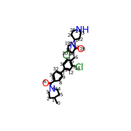 CC1CCN(C(=O)c2ccc(-c3cc(Cl)c(C[C@@H]4CCN(C5CCNCC5)C4=O)c(Cl)c3)cc2)CC1